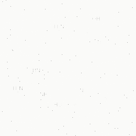 CC(C)C1CCN(C(=O)O)C1=O.N=C(N)NCCCC(N)C(=O)O